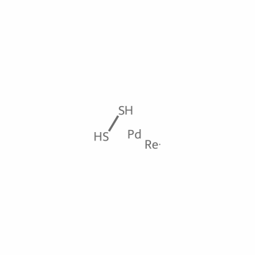 SS.[Pd].[Re]